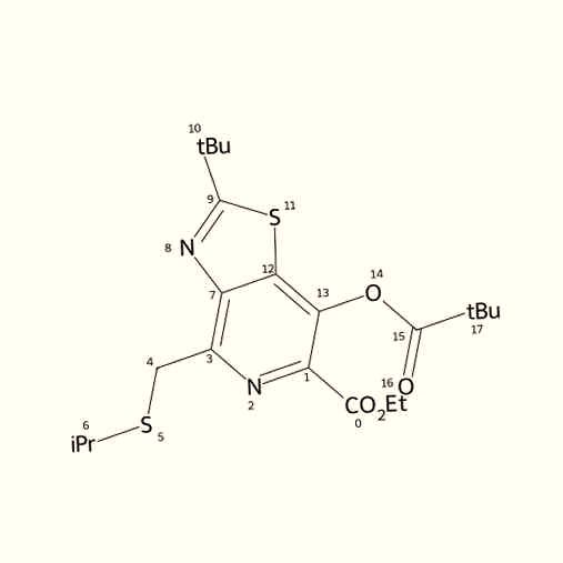 CCOC(=O)c1nc(CSC(C)C)c2nc(C(C)(C)C)sc2c1OC(=O)C(C)(C)C